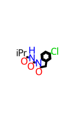 CC(C)C(=O)NC(=O)N1C(=O)Cc2cc(Cl)ccc21